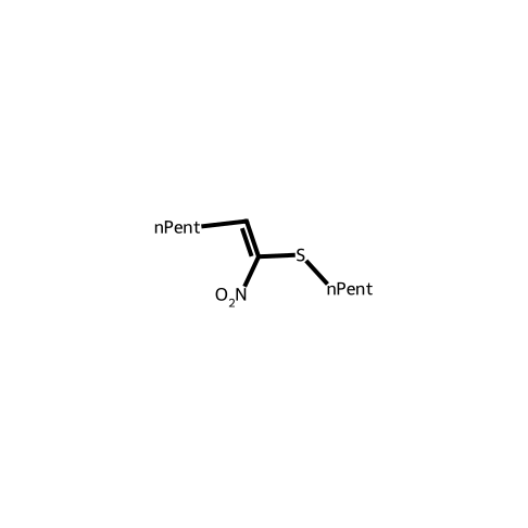 CCCCC/C=C(/SCCCCC)[N+](=O)[O-]